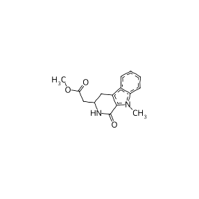 COC(=O)CC1Cc2c(n(C)c3ccccc23)C(=O)N1